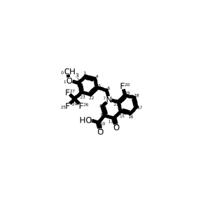 COc1ccc(Cn2cc(C(=O)O)c(=O)c3cccc(F)c32)cc1C(F)(F)F